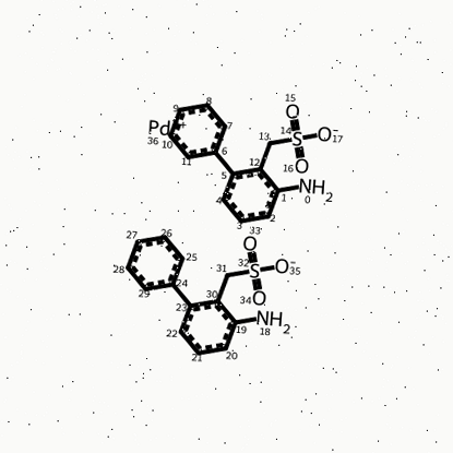 Nc1cccc(-c2ccccc2)c1CS(=O)(=O)[O-].Nc1cccc(-c2ccccc2)c1CS(=O)(=O)[O-].[Pd+2]